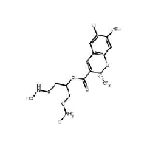 CC(C)(C)c1cc2c(cc1Cl)C=C(C(=O)OC(CONO)CO[NH2+][O-])[C@@H](C(F)(F)F)O2